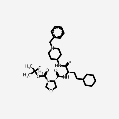 CC(C)(C)OC(=O)N1COC[C@H]1C(=O)N[C@H](CCC1CCCCC1)C(=S)NC1CCN(Cc2ccccc2)CC1